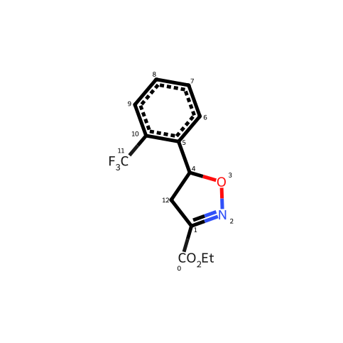 CCOC(=O)C1=NOC(c2ccccc2C(F)(F)F)C1